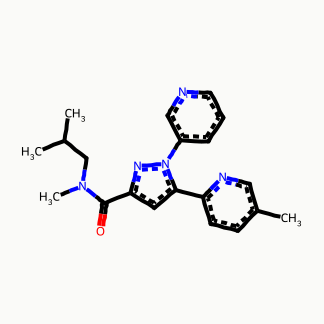 Cc1ccc(-c2cc(C(=O)N(C)CC(C)C)nn2-c2cccnc2)nc1